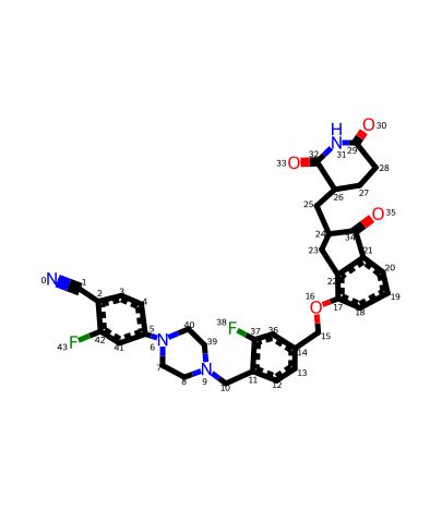 N#Cc1ccc(N2CCN(Cc3ccc(COc4cccc5c4CC(CC4CCC(=O)NC4=O)C5=O)cc3F)CC2)cc1F